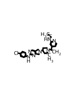 C=C(c1ccnc(NSC)c1)N1CC[C@@H](N2Cc3cnc(Nc4ccc(Cl)cc4)nc3C2)C[C@H]1C